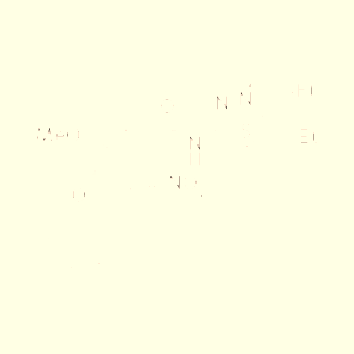 CCC(CC)c1nnc(NC(=O)c2cc(OC)c(OC3CCCC3)cc2[N+](=O)[O-])s1